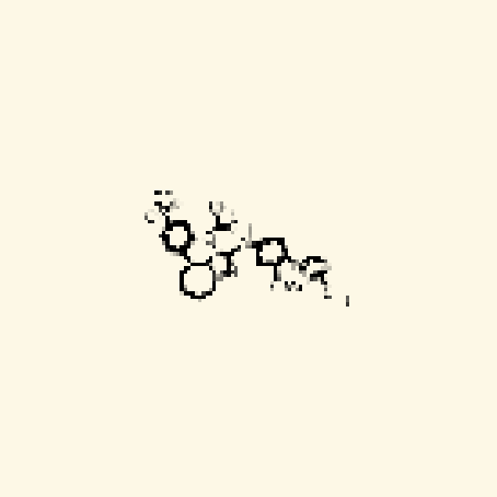 COc1cc(NC2=NN3CCCCC(c4ccc(S(=O)(=O)C(F)(F)F)cc4)C3N2OC(=O)C(F)(F)F)ccc1-n1cnc(C)n1